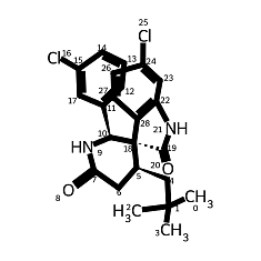 CC(C)(C)C[C@H]1CC(=O)N[C@@H](c2cccc(Cl)c2)[C@]12C(=O)Nc1cc(Cl)ccc12